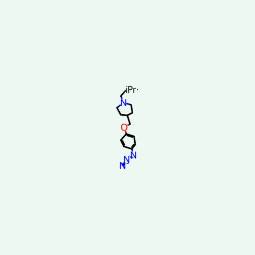 C[C](C)CN1CCC(COc2ccc(N=[N+]=[N-])cc2)CC1